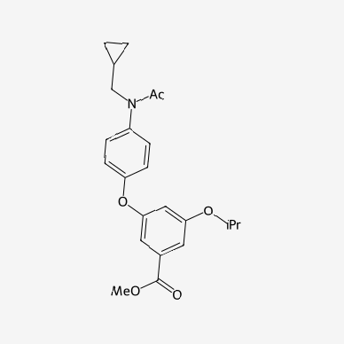 COC(=O)c1cc(Oc2ccc(N(CC3CC3)C(C)=O)cc2)cc(OC(C)C)c1